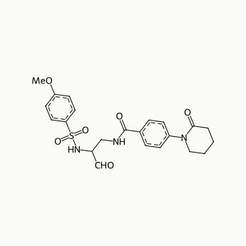 COc1ccc(S(=O)(=O)NC(C=O)CNC(=O)c2ccc(N3CCCCC3=O)cc2)cc1